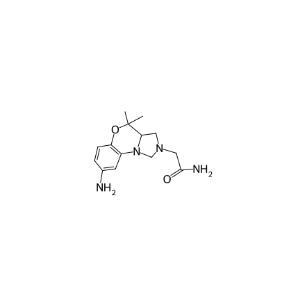 CC1(C)Oc2ccc(N)cc2N2CN(CC(N)=O)CC21